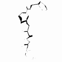 NC(Cc1cccc(C(=O)C=Cc2ccco2)c1)C(=O)NCC(=O)NCC(=O)O